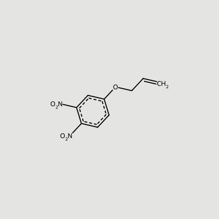 C=CCOc1ccc([N+](=O)[O-])c([N+](=O)[O-])c1